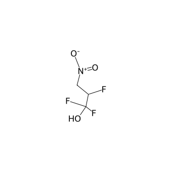 O=[N+]([O-])CC(F)C(O)(F)F